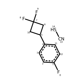 Fc1ccc(C2CC(F)(F)C2)cc1.N#CS